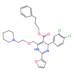 O=C(OCCCc1ccccc1)C1=C(COCCN2CCCCC2)NC(c2ccco2)=NC1c1ccc(Cl)c(Cl)c1